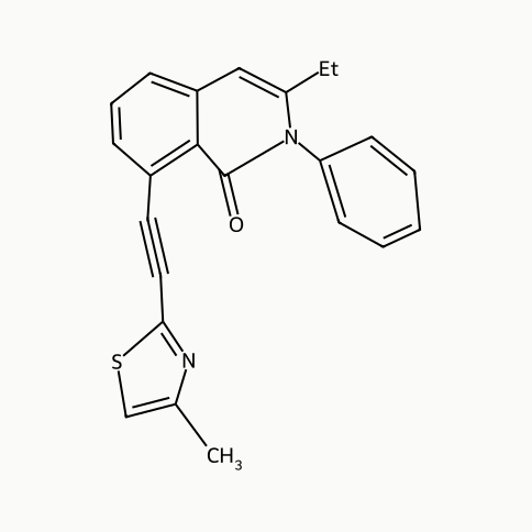 CCc1cc2cccc(C#Cc3nc(C)cs3)c2c(=O)n1-c1ccccc1